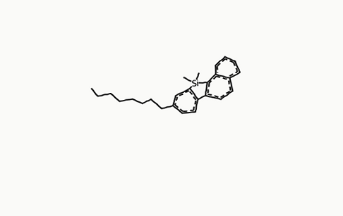 CCCCCCCCc1ccc2c(c1)[Si](C)(C)c1c-2ccc2ccccc12